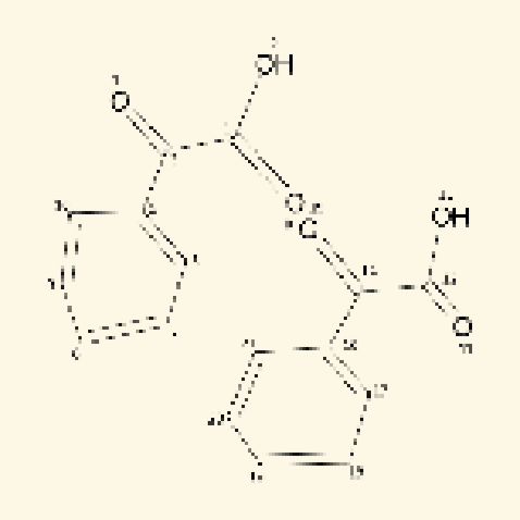 O=C(O)C(=O)c1ccccc1.O=C(O)C(=O)c1ccccc1